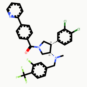 CN(Cc1ccc(C(F)(F)F)c(F)c1)[C@@H]1CN(C(=O)c2ccc(-c3ccccn3)cc2)C[C@@H]1c1ccc(Cl)c(Cl)c1